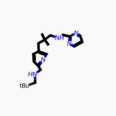 CC(C)(C)CNCc1ccc(CC(C)(C)CNCc2ncccn2)cn1